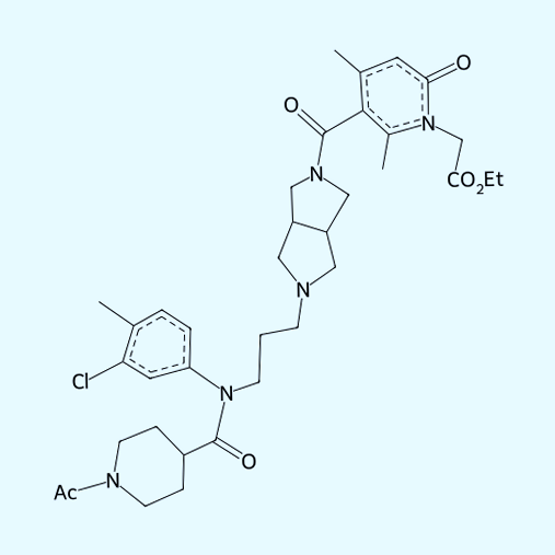 CCOC(=O)Cn1c(C)c(C(=O)N2CC3CN(CCCN(C(=O)C4CCN(C(C)=O)CC4)c4ccc(C)c(Cl)c4)CC3C2)c(C)cc1=O